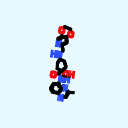 Cc1cnc2cccc(NC(=O)[C@]3(O)CC[C@@H](NCc4cc5c(cn4)OCCO5)CC3)c2n1